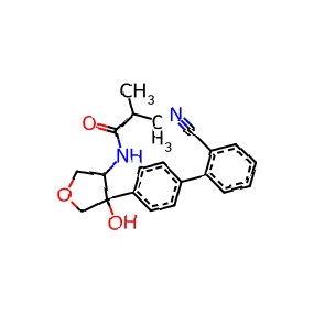 CC(C)C(=O)NC1COCC1(O)c1ccc(-c2ccccc2C#N)cc1